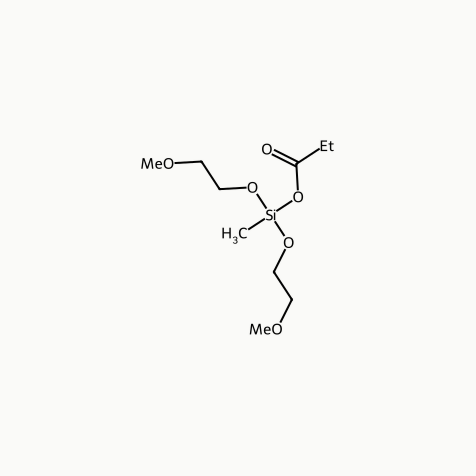 CCC(=O)O[Si](C)(OCCOC)OCCOC